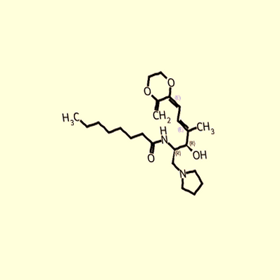 C=C1OCCO/C1=C/C=C(\C)[C@@H](O)[C@@H](CN1CCCC1)NC(=O)CCCCCCC